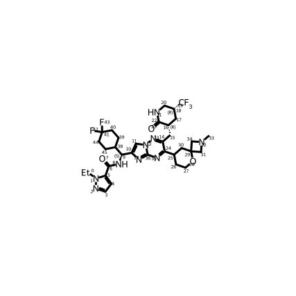 CCn1nccc1C(=O)N[C@H](c1cn2nc(C[C@H]3C[C@@H](C(F)(F)F)CNC3=O)c(C3CCOC4(C3)CN(C)C4)nc2n1)C1CCC(F)(F)CC1